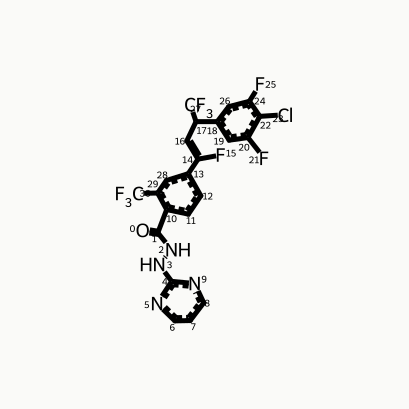 O=C(NNc1ncccn1)c1ccc(/C(F)=C/C(c2cc(F)c(Cl)c(F)c2)C(F)(F)F)cc1C(F)(F)F